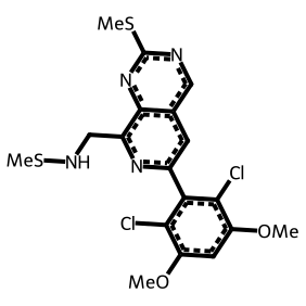 COc1cc(OC)c(Cl)c(-c2cc3cnc(SC)nc3c(CNSC)n2)c1Cl